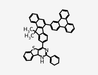 CC1(C)c2cc(C3=C4Sc5ccccc5C4NC(C4=CCCC=C4)=N3)ccc2-c2c(-c3ccc4c5ccccc5c5ccccc5c4c3)cc3ccccc3c21